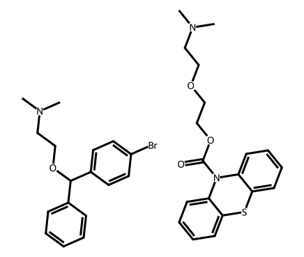 CN(C)CCOC(c1ccccc1)c1ccc(Br)cc1.CN(C)CCOCCOC(=O)N1c2ccccc2Sc2ccccc21